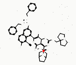 C#Cc1c(F)ccc2cc(OP(=O)(OCc3ccccc3)OCc3ccccc3)cc(C3=C(F)C4NC(OCC56CCCN5CCC6)=NC(N5CC6CCC(C5)N6C(=O)OC(C)(C)C)=C4C(F)=N3)c12